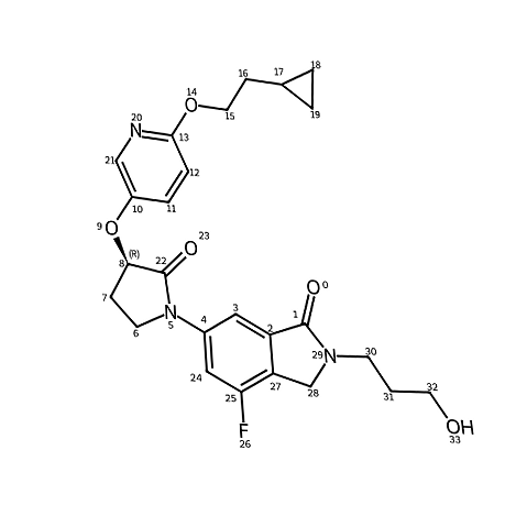 O=C1c2cc(N3CC[C@@H](Oc4ccc(OCCC5CC5)nc4)C3=O)cc(F)c2CN1CCCO